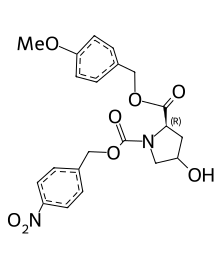 COc1ccc(COC(=O)[C@H]2CC(O)CN2C(=O)OCc2ccc([N+](=O)[O-])cc2)cc1